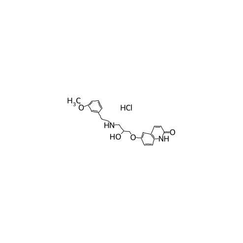 COc1cccc(CCNCC(O)COc2ccc3[nH]c(=O)ccc3c2)c1.Cl